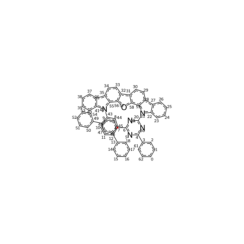 c1ccc(-c2nc(-c3ccccc3-c3ccccc3)nc(-n3c4ccccc4c4ccc5c6ccc7c8ccccc8n(-c8ccccc8-c8ccccc8)c7c6oc5c43)n2)cc1